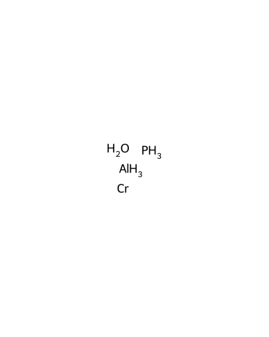 O.P.[AlH3].[Cr]